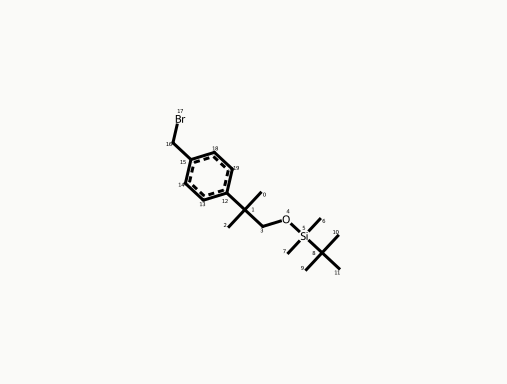 CC(C)(CO[Si](C)(C)C(C)(C)C)c1ccc(CBr)cc1